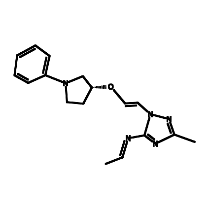 C/C=N/c1nc(C)nn1/C=C/O[C@@H]1CCN(c2ccccc2)C1